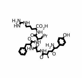 CC(C)CC(NC(=O)C(Cc1ccccc1)NC(=O)CNC(=O)[C@H](C)CC(=O)C(N)Cc1ccc(O)cc1)C(=O)N[C@H](CCCNC(=N)N)C(=O)O